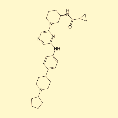 O=C(N[C@@H]1CCCN(c2cncc(Nc3ccc(C4CCN(C5CCCC5)CC4)cc3)n2)C1)C1CC1